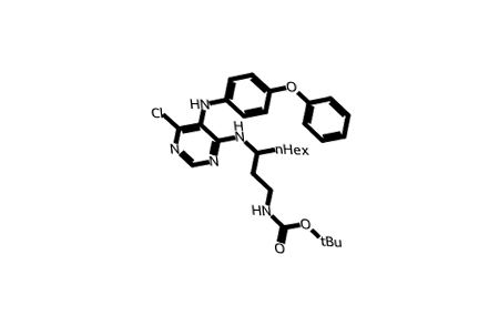 CCCCCCC(CCNC(=O)OC(C)(C)C)Nc1ncnc(Cl)c1Nc1ccc(Oc2ccccc2)cc1